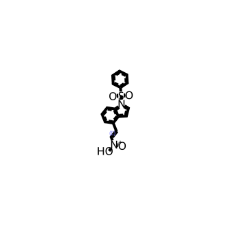 O=[N+](O)/C=C/c1cccc2c1ccn2S(=O)(=O)c1ccccc1